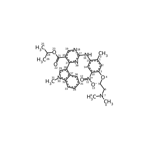 Cc1cc(OCCN(C)C)c([N+](=O)[O-])cc1Nc1ncc(C(=O)OC(C)C)c(-c2cn(C)c3ccccc23)n1